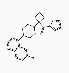 O=C(n1ccnc1)C1(N2CCC(c3ccnc4ccc(F)cc34)CC2)CCC1